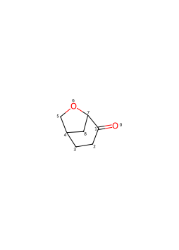 O=C1CCC2COC1C2